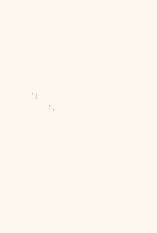 N#[N+]c1[c]ccc2ccccc12